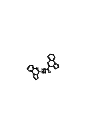 O=C(NNc1nc2ccccc2n2cccc12)c1nc2ccccc2n2cccc12